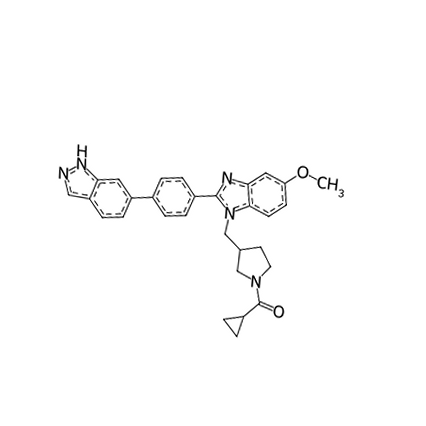 COc1ccc2c(c1)nc(-c1ccc(-c3ccc4cn[nH]c4c3)cc1)n2CC1CCN(C(=O)C2CC2)C1